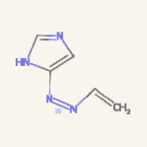 C=C/N=N\c1cnc[nH]1